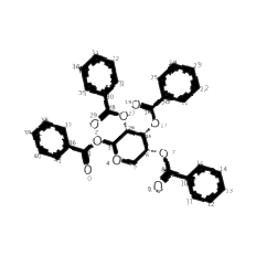 O=C(OC1OC[C@@H](OC(=O)c2ccccc2)[C@@H](OC(=O)c2ccccc2)[C@H]1OC(=O)c1ccccc1)c1ccccc1